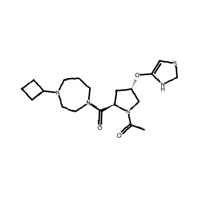 CC(=O)N1C[C@@H](OC2=CSCN2)C[C@@H]1C(=O)N1CCCN(C2CCC2)CC1